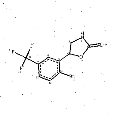 O=C1NCC(c2cc(C(F)(F)F)ccc2Br)O1